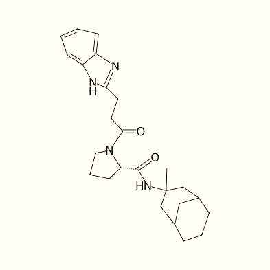 CC1(NC(=O)[C@@H]2CCCN2C(=O)CCc2nc3ccccc3[nH]2)CC2CCCC(C2)C1